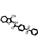 N#Cc1c(NC(=O)c2ccc(S(=O)(=O)c3ccccc3)cc2)sc2c1CCCC2